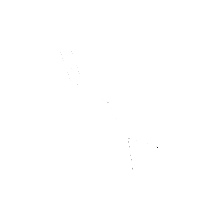 C#CC(C)(C)[C]1CC1